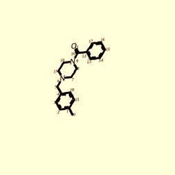 Cc1ccc(CN2CCN(C(=O)c3[c]cccc3)CC2)cc1